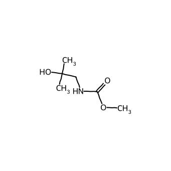 COC(=O)NCC(C)(C)O